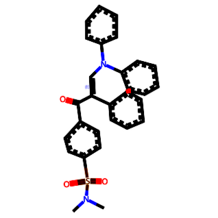 CN(C)S(=O)(=O)c1ccc(C(=O)/C(=C/N(c2ccccc2)c2ccccc2)c2ccccc2)cc1